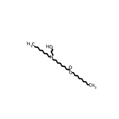 CCCCCCCCCOC(=O)CCCCCCCN(CCCO)CCCCCCCC